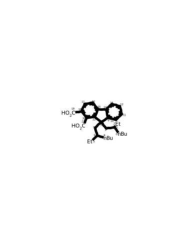 CCCCC(CC)CC1(CC(CC)CCCC)c2ccccc2-c2ccc(C(=O)O)c(C(=O)O)c21